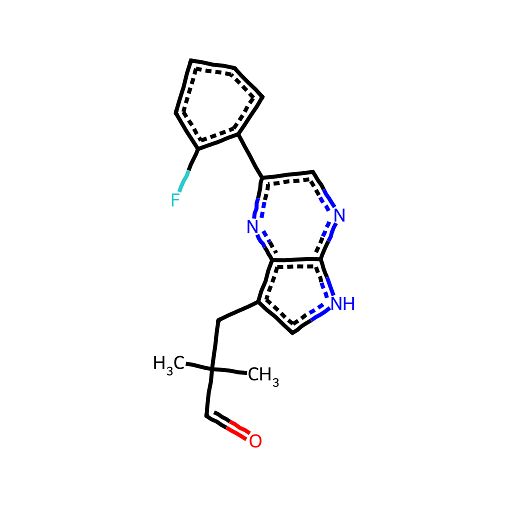 CC(C)(C=O)Cc1c[nH]c2ncc(-c3ccccc3F)nc12